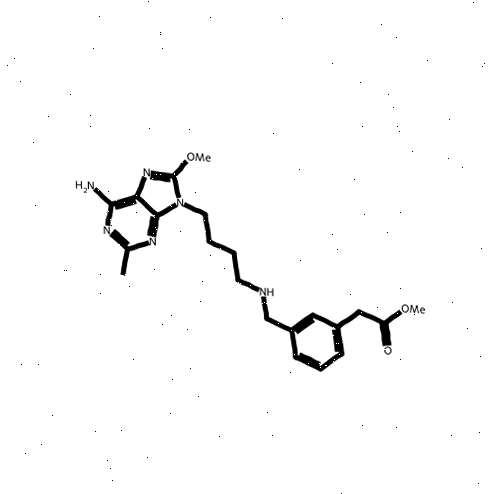 COC(=O)Cc1cccc(CNCCCCn2c(OC)nc3c(N)nc(C)nc32)c1